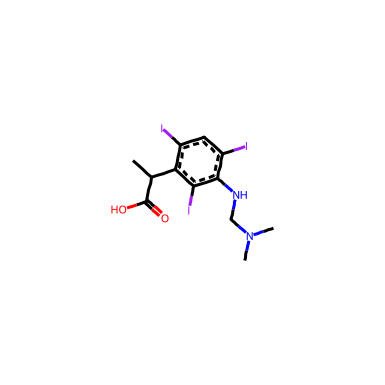 CC(C(=O)O)c1c(I)cc(I)c(NCN(C)C)c1I